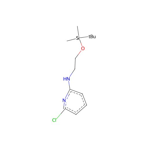 CC(C)(C)[Si](C)(C)OCCNc1cccc(Cl)n1